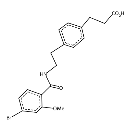 COc1cc(Br)ccc1C(=O)NCCc1ccc(CCC(=O)O)cc1